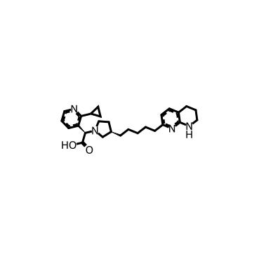 O=C(O)[C@@H](c1cccnc1C1CC1)N1CC[C@@H](CCCCCc2ccc3c(n2)NCCC3)C1